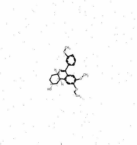 CCOc1cc2c(cc1OC)C(c1cccc(SC)c1)=N[C@@H]1CC[C@@H](O)C[C@H]21